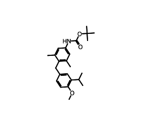 COc1ccc(Cc2c(C)cc(NC(=O)OC(C)(C)C)cc2C)cc1C(C)C